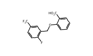 O=C(O)c1ccccc1OCc1cc(C(F)(F)F)ccc1F